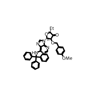 CC[C@H]1O[C@@H](n2cnc3c(NC(c4ccccc4)(c4ccccc4)c4ccccc4)ncnc32)C(OCc2ccc(OC)cc2)C1=O